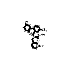 COC(=O)N(Cc1ccc[n+](O)c1)Cc1cc(C(F)(F)F)ccc1-c1cc(C(C)C)ccc1OC